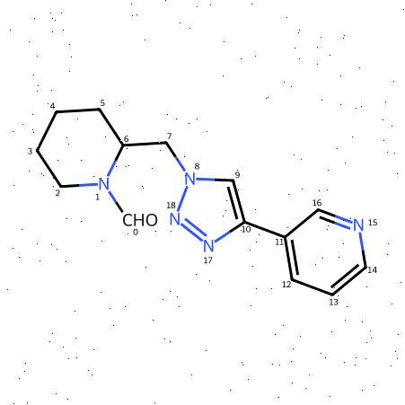 O=CN1CCCCC1Cn1cc(-c2cccnc2)nn1